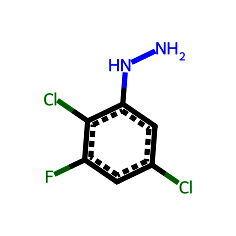 NNc1cc(Cl)cc(F)c1Cl